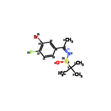 C/C(=N/[S@+]([O-])C(C)(C)C)c1ccc(F)c(Br)c1